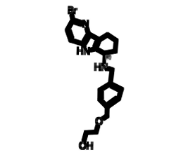 OCCOCc1ccc(CN[C@@H]2CCCc3c2[nH]c2ccc(Br)nc32)cc1